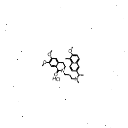 COc1cc2c(cc1OC)C(=O)N(CCCN(C)C(C)c1ccc3c(C)c(OC)ccc3c1)CC2.Cl